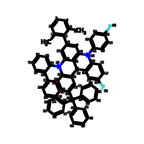 Cc1cccc(C)c1-c1cc2c3c(c1)N(c1ccccc1-c1ccccc1)c1ccc([Si](c4ccccc4)(c4ccccc4)c4ccccc4)cc1B3c1cc(F)ccc1N2c1ccc(F)cc1